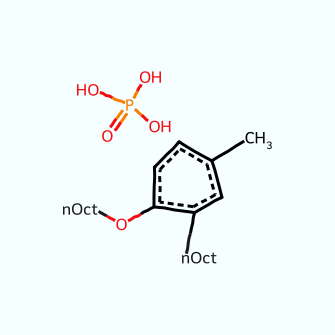 CCCCCCCCOc1ccc(C)cc1CCCCCCCC.O=P(O)(O)O